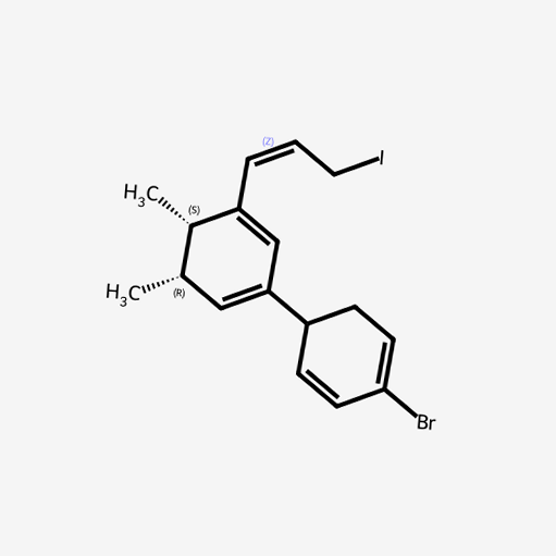 C[C@@H]1C(/C=C\CI)=CC(C2C=CC(Br)=CC2)=C[C@@H]1C